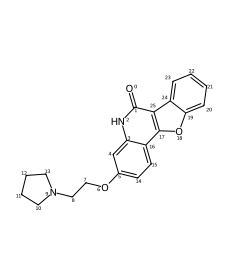 O=c1[nH]c2cc(OCCN3CCCC3)ccc2c2oc3ccccc3c12